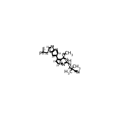 COc1nc(NCC(C)(C)C#N)nn2ccc(-c3ccc4ncn(CC(F)F)c4c3)c12